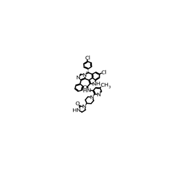 Cc1cnc(N2CCC(N3CCNC3=O)CC2)c(NC(=O)c2[nH]c3cc(Cl)cc4c3c2-c2c(-c3ccccc3)ncn2[C@@H]4c2ccc(Cl)cc2)c1